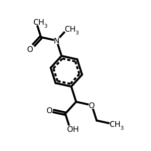 CCOC(C(=O)O)c1ccc(N(C)C(C)=O)cc1